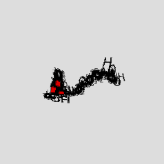 Nc1nnc(-c2ccccc2O)cc1N1CC2CCC(C1)N2c1cccc(OCCN2CCN(C(=O)CN3CCC(c4ccc(NC5CCC(=O)NC5=O)cc4)CC3)CC2)c1